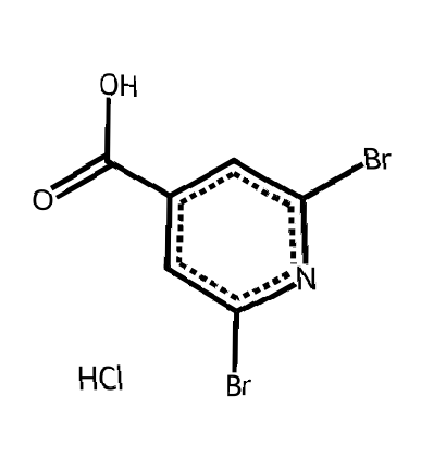 Cl.O=C(O)c1cc(Br)nc(Br)c1